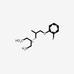 CC(COc1ccccc1F)C[C@H](CN)CC(=O)O